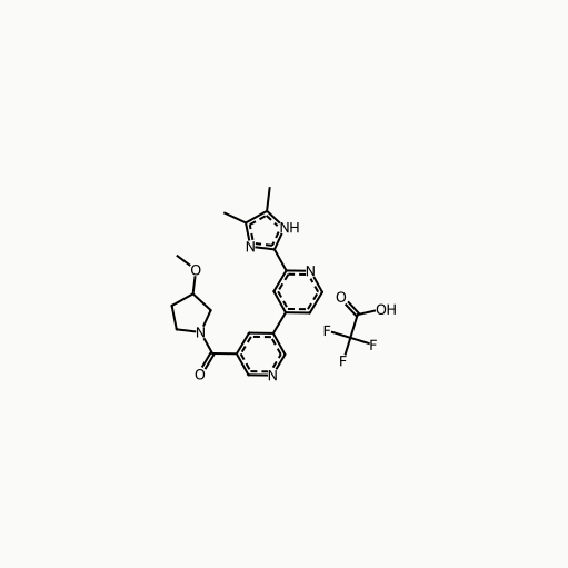 COC1CCN(C(=O)c2cncc(-c3ccnc(-c4nc(C)c(C)[nH]4)c3)c2)C1.O=C(O)C(F)(F)F